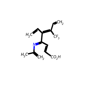 C=CC(=C(\C=C)C(F)(F)F)/C(/C=C/C(=O)O)=N/C(=C)C